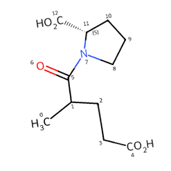 CC(CCC(=O)O)C(=O)N1CCC[C@H]1C(=O)O